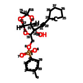 Cc1ccc(S(=O)(=O)OCC2O[C@@H]3OC(C)(C)O[C@@H]3[C@@]2(O)C#CC2CCCCC2)cc1